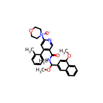 COc1cc(C(OC)N(C)C(=O)c2cnc([N+]3([O-])CCOCC3)cc2-c2ccccc2C)cc2ccccc12